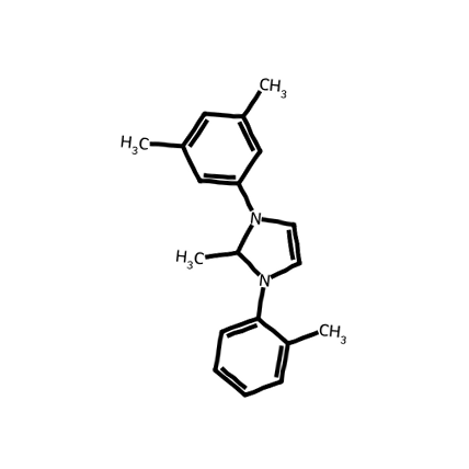 Cc1cc(C)cc(N2C=CN(c3ccccc3C)C2C)c1